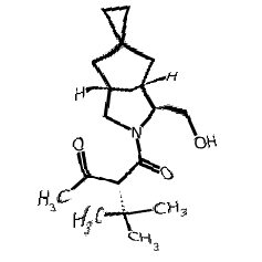 CC(=O)[C@H](C(=O)N1C[C@@H]2CC3(CC3)C[C@@H]2[C@H]1CO)C(C)(C)C